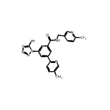 Cc1ccc(-c2cc(C(=O)NCc3ccc(C(F)(F)F)nc3)cc(-n3nnnc3C(C)C)c2)nc1